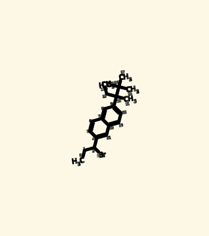 CCC(Br)c1ccc2cc(C(C)(CC)C(C)(C)C)ccc2c1